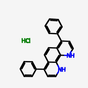 C1=CC(c2ccccc2)=c2ccc3c(c2N1)NC=CC=3c1ccccc1.Cl